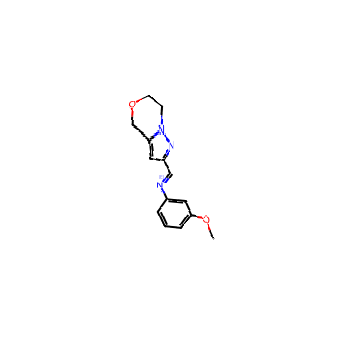 COc1cccc(/N=C/c2cc3n(n2)CCOC3)c1